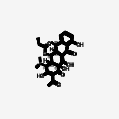 CCC(=O)O[C@H]1[C@H]2C(=C(O)[C@]3(O)C(=O)C(C(C)=O)=C(O)[C@@H](N(C)C)[C@H]13)C(=O)c1c(O)cccc1[C@@H]2C